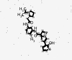 Cc1ncc(NC(=O)C[C@@H]2CCCN2C(C)C)cc1NC(=O)c1cnn2cc(-c3cccnc3O)sc12